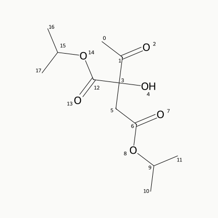 CC(=O)C(O)(CC(=O)OC(C)C)C(=O)OC(C)C